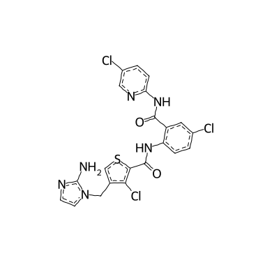 Nc1nccn1Cc1csc(C(=O)Nc2ccc(Cl)cc2C(=O)Nc2ccc(Cl)cn2)c1Cl